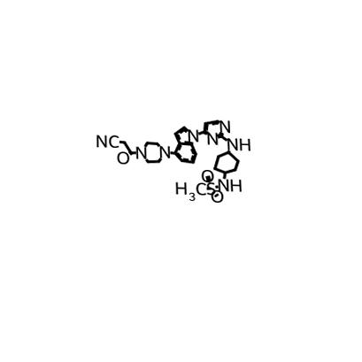 CS(=O)(=O)NC1CCC(Nc2nccc(-n3ccc4c(N5CCN(C(=O)CC#N)CC5)cccc43)n2)CC1